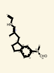 C=CN/C=C(\C)CC1CCc2ccc(N(C)C=O)cc21